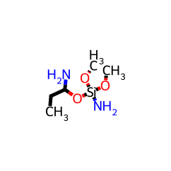 CCC(N)O[Si](N)(OC)OC